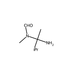 CC(C)C(C)(N)N(C)C=O